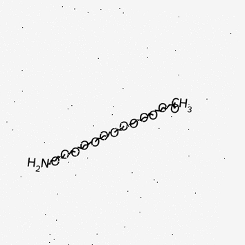 CC(=O)CCOCCOCCOCCOCCOCCOCCOCCOCCOCCOCCOCCOCCN